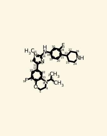 CC(C)N1CCOc2c(F)cc(-c3cn(C)c(Nc4ccc(C5CCNCC5)c(F)c4)n3)cc21